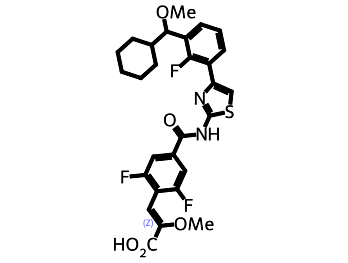 CO/C(=C\c1c(F)cc(C(=O)Nc2nc(-c3cccc(C(OC)C4CCCCC4)c3F)cs2)cc1F)C(=O)O